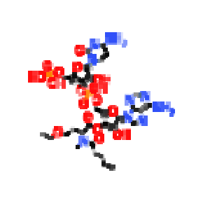 C=CCCC(=O)N(C)C(CCOCC)C(=O)O[C@H]1[C@@H](O)[C@H](n2cnc3c(N)ncnc32)O[C@@H]1COP(=O)(O)O[C@H]1[C@@H](O)[C@H](n2ccc(N)nc2=O)O[C@@H]1COP(=O)(O)O